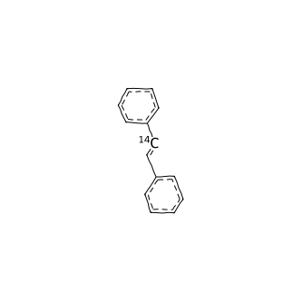 C(=[14CH]c1ccccc1)c1ccccc1